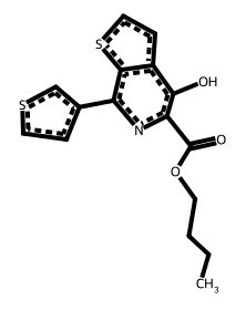 CCCCOC(=O)c1nc(-c2ccsc2)c2sccc2c1O